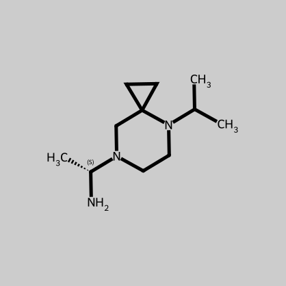 CC(C)N1CCN([C@@H](C)N)CC12CC2